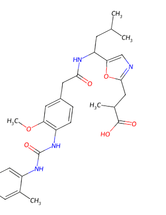 COc1cc(CC(=O)NC(CC(C)C)c2cnc(CC(C)C(=O)O)o2)ccc1NC(=O)Nc1ccccc1C